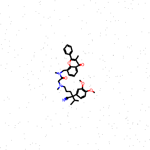 COc1ccc(C(C#N)(CCCN(C)CC(=O)N(C)Cc2cccc3c(=O)c(C)c(-c4ccccc4)oc23)C(C)C)cc1OC